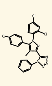 Cc1c(-c2nnnn2-c2ccccc2)nn(-c2ccc(Cl)cc2Cl)c1-c1ccc(Cl)cc1